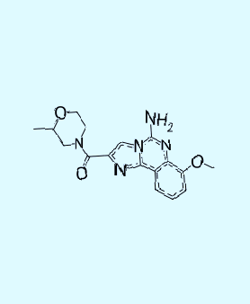 COc1cccc2c1nc(N)n1cc(C(=O)N3CCOC(C)C3)nc21